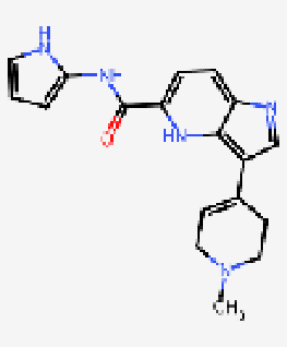 CN1CC=C(c2cnc3ccc(C(=O)Nc4ccc[nH]4)[nH]c2-3)CC1